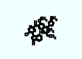 C=CC(=O)Nc1cc(Nc2ncc(Cl)c(-c3c[nH]c4ccccc34)n2)c(OC)cc1N(C)C1CCN(C)C1